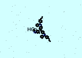 CCCc1ccc(/C(=C/c2ccc(N(c3ccc(/C=C(\c4ccccc4)c4ccc(CCC)cc4)cc3)c3ccc(/C=C\C(=O)O)cc3C)cc2)c2ccccc2)cc1